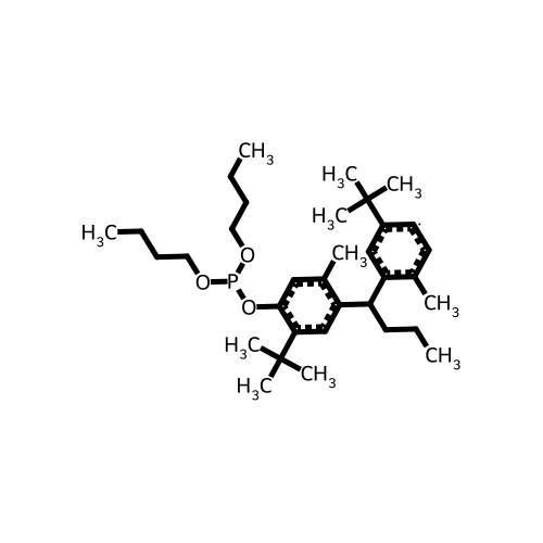 CCCCOP(OCCCC)Oc1cc(C)c(C(CCC)c2cc(C(C)(C)C)[c]cc2C)cc1C(C)(C)C